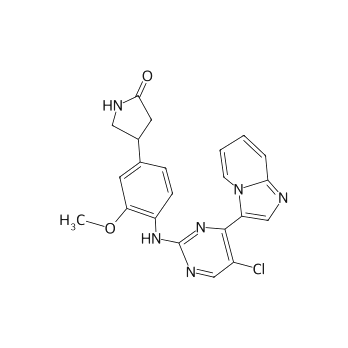 COc1cc(C2CNC(=O)C2)ccc1Nc1ncc(Cl)c(-c2cnc3ccccn23)n1